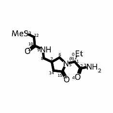 CC[C@H](C(N)=O)N1CC(CNC(=O)CSC)CC1=O